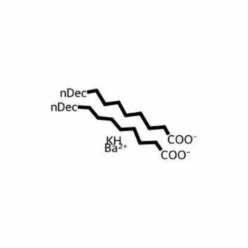 CCCCCCCCCCCCCCCCCC(=O)[O-].CCCCCCCCCCCCCCCCCC(=O)[O-].[Ba+2].[KH]